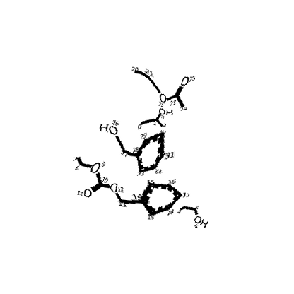 CC(C)O.CCO.CCOC(=O)OCc1ccccc1.CCOC(C)=O.OCc1ccccc1